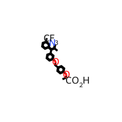 Cc1cnc2c(C(F)(F)F)cccc2c1-c1cccc(OCc2ccc(OC(C)C(=O)O)cc2)c1